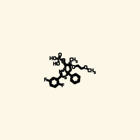 COCCON(C)C(=O)N1N=C(c2cc(F)ccc2F)SC1(CCCOP(=O)(O)O)c1ccccc1